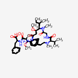 CCC(C)C(C(CC(=O)N1CCCC1C(OC)C(C)C(=O)NC(Cc1ccccc1)C(=O)O)OC)N(C)C(=O)CNC(=O)C(C(C)C)N(C)CCc1ccc(N)cc1